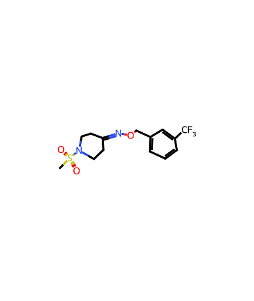 CS(=O)(=O)N1CCC(=NOCc2cccc(C(F)(F)F)c2)CC1